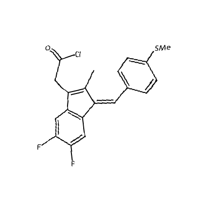 CSc1ccc(C=C2C(C)=C(CC(=O)Cl)c3cc(F)c(F)cc32)cc1